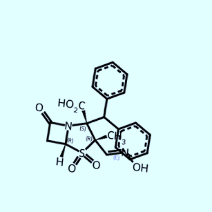 C[C@]1(/C=N/O)[C@@](C(=O)O)(C(c2ccccc2)c2ccccc2)N2C(=O)C[C@H]2S1(=O)=O